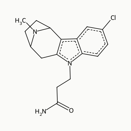 CN1C2CCC1c1c(n(CCC(N)=O)c3ccc(Cl)cc13)C2